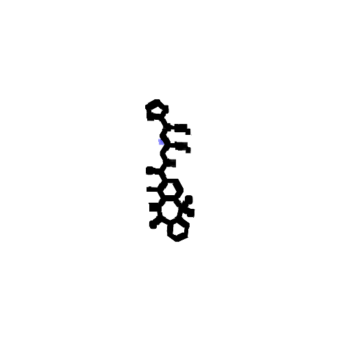 Cc1c(C(=O)NC/C(N)=C/N(N)c2nccs2)ccc2c1NC(=O)c1ccccc1S2(=O)=O